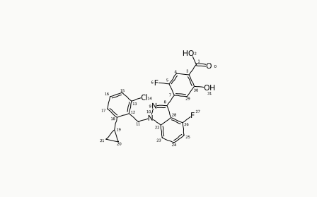 O=C(O)c1cc(F)c(-c2nn(Cc3c(Cl)cccc3C3CC3)c3cccc(F)c23)cc1O